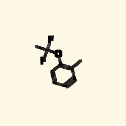 Cc1c#cccc1OC(C)(F)F